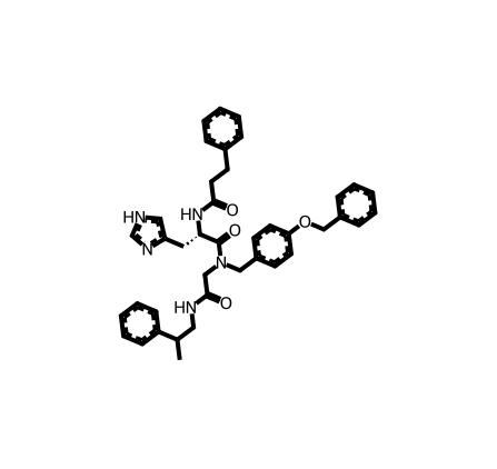 CC(CNC(=O)CN(Cc1ccc(OCc2ccccc2)cc1)C(=O)[C@H](Cc1c[nH]cn1)NC(=O)CCc1ccccc1)c1ccccc1